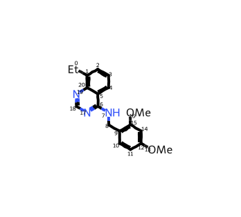 [CH2]Cc1cccc2c(NCc3ccc(OC)cc3OC)ncnc12